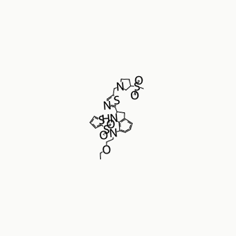 CCOCCN(c1cccc2c1NC(c1ncc(CN3CCC(S(C)(=O)=O)C3)s1)C2)S(=O)(=O)c1cccs1